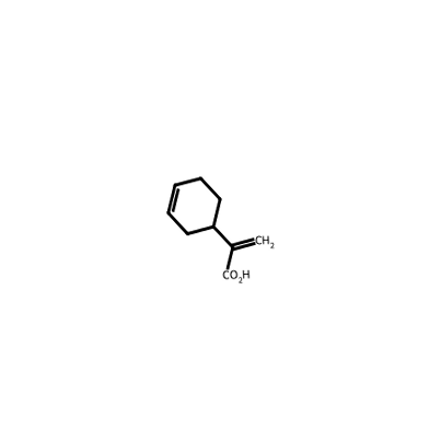 C=C(C(=O)O)C1CC=CCC1